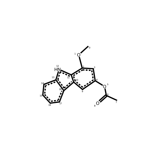 COc1cc(OC(C)=O)cc2c1[nH]c1ccccc12